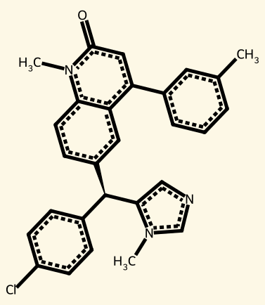 Cc1cccc(-c2cc(=O)n(C)c3ccc([C@H](c4ccc(Cl)cc4)c4cncn4C)cc23)c1